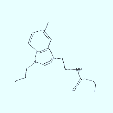 CCCn1cc(CCNC(=O)CC)c2cc(C)ccc21